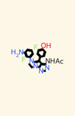 CC(=O)Nc1ncnc2c1c(-c1ccc(O)c(F)c1)c1n2CCN1c1cccc(N)c1F